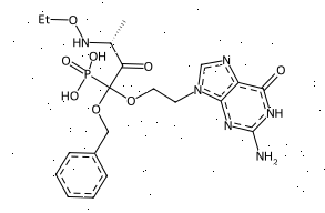 CCON[C@H](C)C(=O)C(OCCn1cnc2c(=O)[nH]c(N)nc21)(OCc1ccccc1)P(=O)(O)O